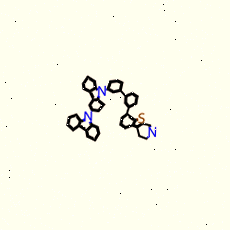 C1=NCCc2c1sc1c(-c3cccc(-c4cccc(-n5c6ccccc6c6cc(-n7c8ccccc8c8ccccc87)ccc65)c4)c3)cccc21